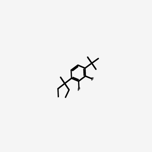 CCC(C)(CC)c1ccc(C(C)(C)C)c(F)c1F